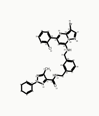 Cc1nn(C2=CCCC=C2)nc1C(=O)NCc1cccc(CNc2cc(-c3ccccc3Cl)nc3c(Br)cnn23)c1